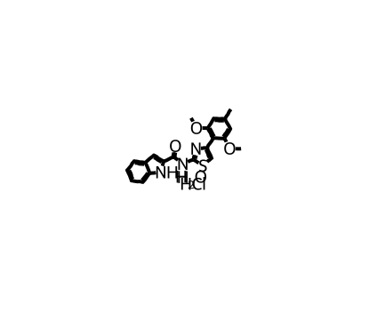 COc1cc(C)cc(OC)c1-c1csc(NC(=O)c2cc3ccccc3[nH]2)n1.Cl.O